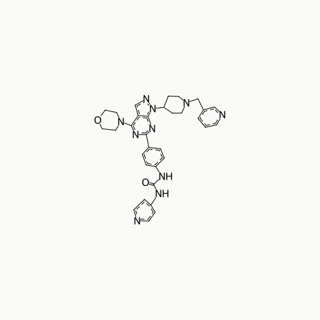 O=C(Nc1ccncc1)Nc1ccc(-c2nc(N3CCOCC3)c3cnn(C4CCN(Cc5cccnc5)CC4)c3n2)cc1